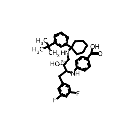 CC(C)(C)c1cccc(C2(NC[C@@H](O)C(Cc3cc(F)cc(F)c3)Nc3ccc(C(=O)O)cc3)CCCCC2)c1